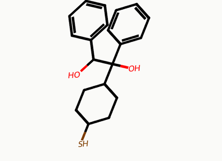 OC(c1ccccc1)C(O)(c1ccccc1)C1CCC(S)CC1